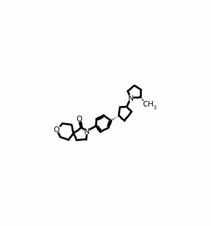 C[C@H]1CCCN1C1CC[C@H](c2ccc(N3CCC4(CCOCC4)C3=O)cc2)C1